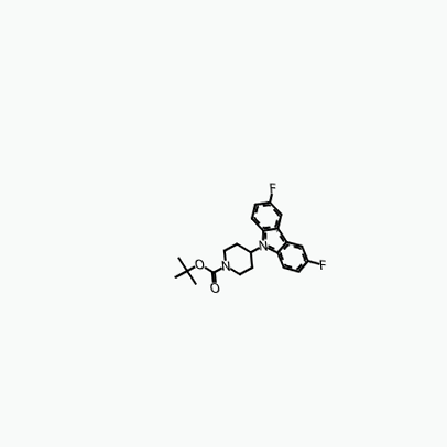 CC(C)(C)OC(=O)N1CCC(n2c3ccc(F)cc3c3cc(F)ccc32)CC1